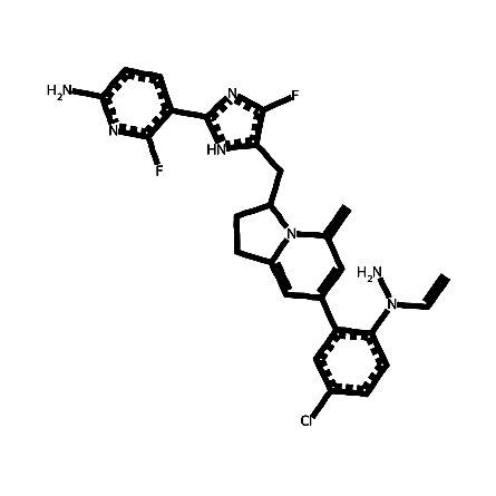 C=CN(N)c1ccc(Cl)cc1C1=CC(=C)N2C(=C1)CCC2Cc1[nH]c(-c2ccc(N)nc2F)nc1F